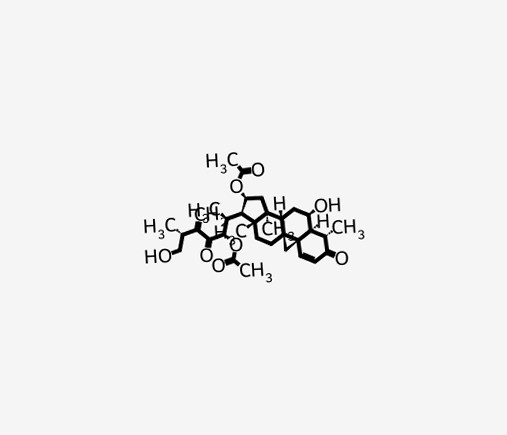 C=C(C(=O)[C@H](OC(C)=O)[C@@H](C)[C@H]1[C@@H](OC(C)=O)C[C@@]2(C)[C@@H]3C[C@@H](O)[C@H]4[C@H](C)C(=O)C=C[C@@]45C[C@@]35CC[C@]12C)[C@@H](C)CO